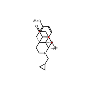 CCO[C@@]12CCC(=O)C[C@@]13CCN(CC1CC1)[C@@H]2Cc1ccc(OC)cc13